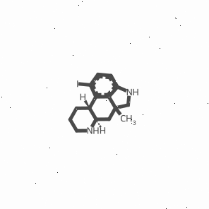 CC12CNc3ccc(I)c(c31)[C@H]1CCCN[C@@H]1C2